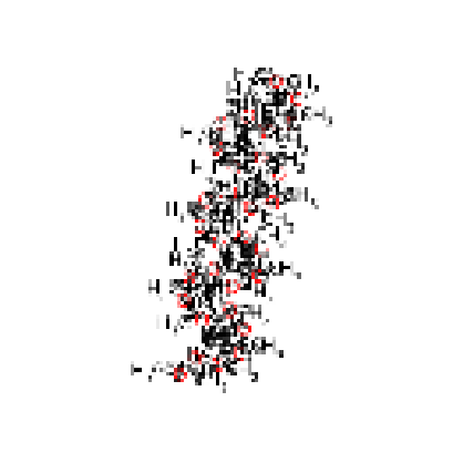 C[SiH2]O[SiH](C)O[SiH](C)O[Si](C)(C)O[Si](C)(C)O[Si](C)(C)O[Si](C)(C)O[Si](C)(C)O[Si](C)(C)O[Si](C)(C)O[Si](C)(C)O[Si](C)(C)O[Si](C)(C)O[Si](C)(C)O[Si](C)(C)O[Si](C)(C)O[Si](C)(C)O[Si](C)(C)O[Si](C)(C)O[Si](C)(C)O[Si](C)(C)O[Si](C)(C)O[Si](C)(C)O[Si](C)(C)O[Si](C)(C)O[Si](C)(C)O[Si](C)(C)O[Si](C)(C)O[Si](C)(C)O[Si](C)(C)O[Si](C)(C)C